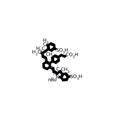 C=C(/C=C/C1=C(c2ccc(CCC(=O)O)cc2)C(=C/C=C2/N(CCCC)c3ccc(S(=O)(=O)O)cc3C2(C)C)/CCC1)C(C)(C)c1cc(S(=O)(=O)O)ccc1C